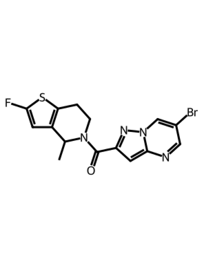 CC1c2cc(F)sc2CCN1C(=O)c1cc2ncc(Br)cn2n1